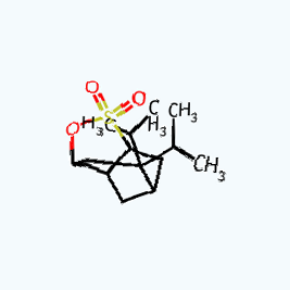 CC(C)C1(C(C)C)C2CC3C1OS(=O)(=O)C3C2